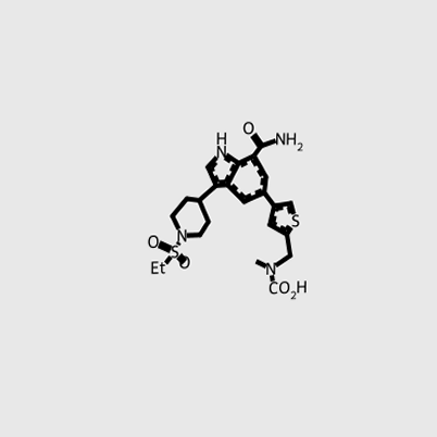 CCS(=O)(=O)N1CCC(c2c[nH]c3c(C(N)=O)cc(-c4csc(CN(C)C(=O)O)c4)cc23)CC1